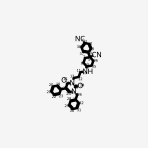 N#Cc1ccc(C2(C#N)CCC(NCCCn3c(=O)c(-c4ccccc4)cn(Cc4ccccc4)c3=O)CC2)cc1